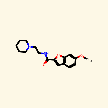 COc1ccc2cc(C(=O)NCCN3CCCCC3)oc2c1